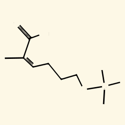 CC(=CCCCO[Si](C)(C)C)C(=O)O